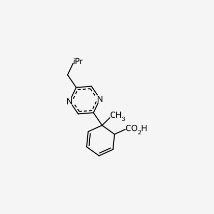 CC(C)Cc1cnc(C2(C)C=CC=CC2C(=O)O)cn1